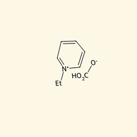 CC[n+]1ccccc1.O=C([O-])O